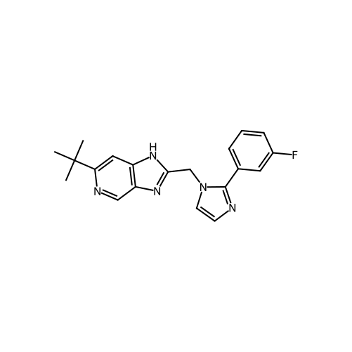 CC(C)(C)c1cc2[nH]c(Cn3ccnc3-c3cccc(F)c3)nc2cn1